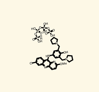 COc1ccc2nc3cc(Cl)ccc3c(Nc3cc(CN4CCCC4)c(O)c(CN4CCCC4)c3)c2n1.O=P(O)(O)OP(=O)(O)OP(=O)(O)OP(=O)(O)O